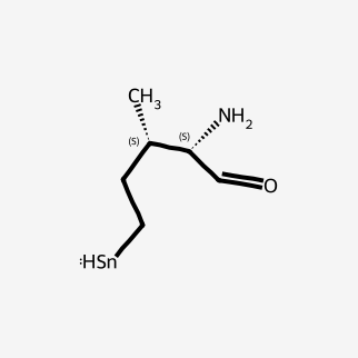 C[C@@H](C[CH2][SnH])[C@H](N)C=O